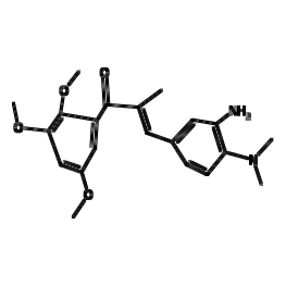 COc1cc(OC)c(OC)c(C(=O)C(C)=Cc2ccc(N(C)C)c(N)c2)c1